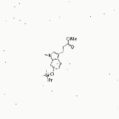 COC(=O)CCc1cn(C)c2cc(O[Si](C)(C)C(C)C)ccc12